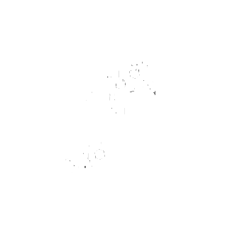 CNC(=O)N1CCc2c(-c3cc(OC)c(CN4CC(NC(=O)CCCCCOc5cccc6c5C(=O)N(C5CCC(=O)NC5=O)C6=O)C4)cc3OC)cn(C)c(=O)c2C1.O=CO